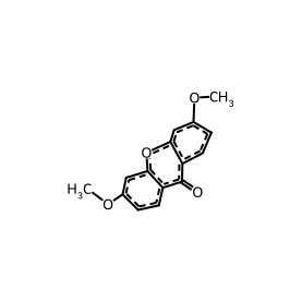 COc1ccc2c(=O)c3ccc(OC)cc3oc2c1